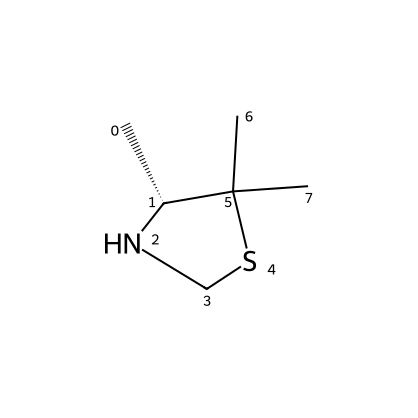 C[C@H]1NCSC1(C)C